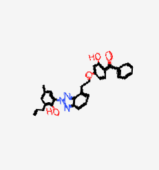 C=CCc1cc(C)cc(-n2nc3cccc(CCOc4ccc(C(=O)c5ccccc5)c(O)c4)c3n2)c1O